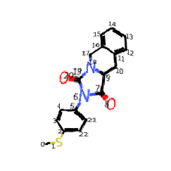 CSc1ccc(N2C(=O)C3Cc4ccccc4CN3C2=O)cc1